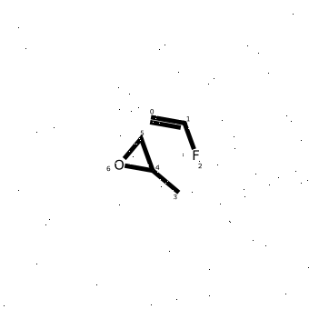 C=CF.CC1CO1